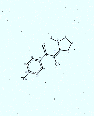 CN1CCC/C1=C(\C#N)C(=O)c1ccc(Cl)cc1